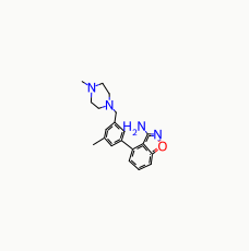 Cc1cc(CN2CCN(C)CC2)cc(-c2cccc3onc(N)c23)c1